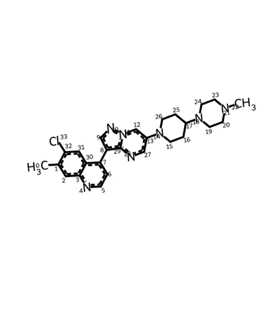 Cc1cc2nccc(-c3cnn4cc(N5CCC(N6CCN(C)CC6)CC5)cnc34)c2cc1Cl